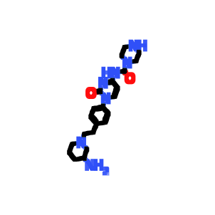 NC1CCCN(CCc2ccc(-n3ccc(NC(=O)N4CCNCC4)nc3=O)cc2)C1